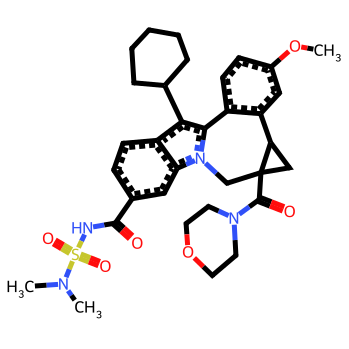 COc1ccc2c(c1)C1CC1(C(=O)N1CCOCC1)Cn1c-2c(C2CCCCC2)c2ccc(C(=O)NS(=O)(=O)N(C)C)cc21